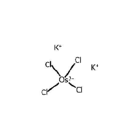 [Cl][Os-2]([Cl])([Cl])[Cl].[K+].[K+]